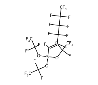 FC(=C(F)[Si](OC(F)(F)C(F)(F)F)(OC(F)(F)C(F)(F)F)OC(F)(F)C(F)(F)F)C(F)(F)C(F)(F)C(F)(F)C(F)(F)F